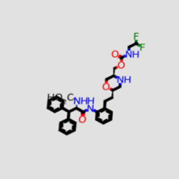 O=C(O)N[C@H](C(=O)Nc1ccccc1CC[C@@H]1CN[C@H](COC(=O)NCC(F)F)CO1)C(c1ccccc1)c1ccccc1